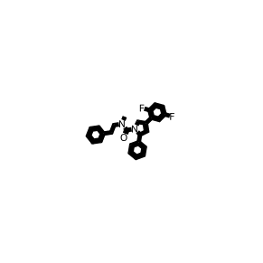 CN(CCc1ccccc1)C(=O)N1CC(c2cc(F)ccc2F)=CC1c1ccccc1